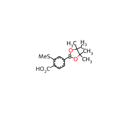 CSc1cc(B2OC(C)(C)C(C)(C)O2)ccc1C(=O)O